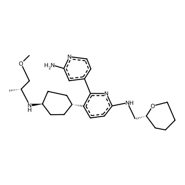 COC[C@@H](C)N[C@H]1CC[C@H](c2ccc(NC[C@H]3CCCCO3)nc2-c2ccnc(N)c2)CC1